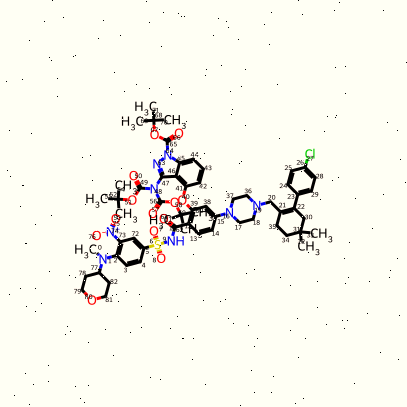 CN(c1ccc(S(=O)(=O)NC(=O)c2ccc(N3CCN(CC4=C(c5ccc(Cl)cc5)CC(C)(C)CC4)CC3)cc2Oc2cccc3c2c(N(C(=O)OC(C)(C)C)C(=O)OC(C)(C)C)nn3C(=O)OC(C)(C)C)cc1[N+](=O)[O-])C1CCOCC1